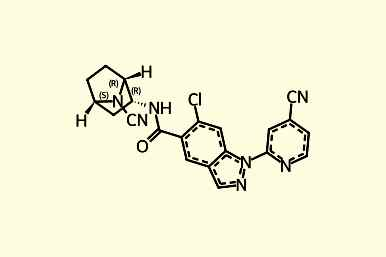 N#Cc1ccnc(-n2ncc3cc(C(=O)N[C@@H]4C[C@@H]5CC[C@H]4N5C#N)c(Cl)cc32)c1